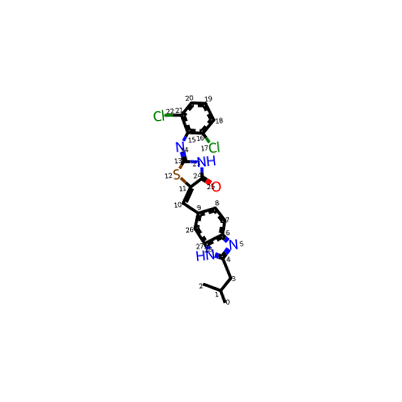 CC(C)Cc1nc2ccc(C=C3SC(=Nc4c(Cl)cccc4Cl)NC3=O)cc2[nH]1